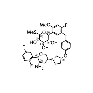 COc1cc(F)c(Cc2ccc(O[C@@H]3CCN(C4CO[C@H](c5cc(F)ccc5F)[C@@H](N)C4)C3)cc2)cc1[C@@H]1O[C@H](SC)[C@@H](O)[C@H](O)[C@H]1O